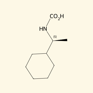 C[C@H](NC(=O)O)C1CCCCC1